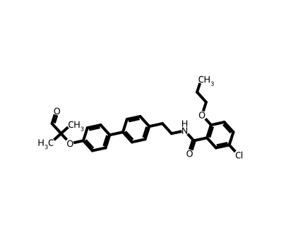 CCCOc1ccc(Cl)cc1C(=O)NCCc1ccc(-c2ccc(OC(C)(C)C=O)cc2)cc1